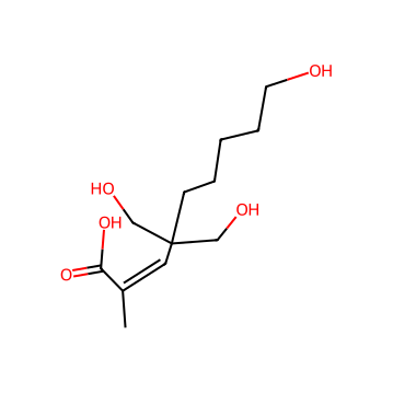 CC(=CC(CO)(CO)CCCCCO)C(=O)O